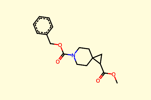 COC(=O)C1CC12CCN(C(=O)OCc1ccccc1)CC2